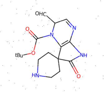 CC(C)(C)OC(=O)N1C2=C(N=CC1C=O)NC(=O)C21CCNCC1